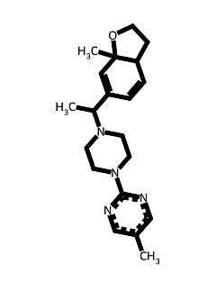 Cc1cnc(N2CCN(C(C)C3=CC4(C)OCCC4C=C3)CC2)nc1